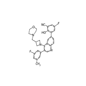 Cc1cc(F)cc(-c2cnc3ccc(-c4cc(F)cc(C#N)c4O)cc3c2N2CC(CN3CCOCC3)C2)c1